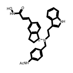 CC(=O)Nc1ccc(CN(CCc2c[nH]c3ccccc23)[C@@H]2CCc3cc(C=CC(=O)NO)ccc32)cc1